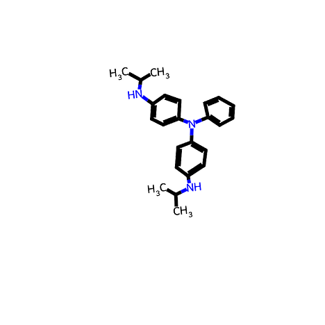 CC(C)Nc1ccc(N(c2ccccc2)c2ccc(NC(C)C)cc2)cc1